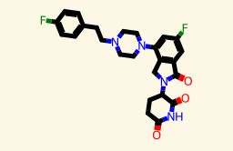 O=C1CCC(N2Cc3c(cc(F)cc3N3CCN(CCc4ccc(F)cc4)CC3)C2=O)C(=O)N1